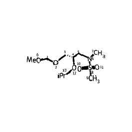 COCOC[C@H](CN(C)S(C)(=O)=O)OC(C)C